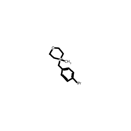 CC(C)c1ccc(C[N+]2(C)CCOCC2)cc1